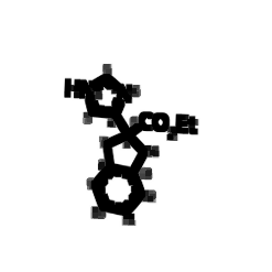 CCOC(=O)C1(c2c[nH]cn2)Cc2ccccc2C1